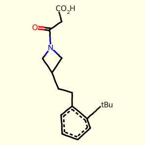 CC(C)(C)c1ccccc1CCC1CN(C(=O)CC(=O)O)C1